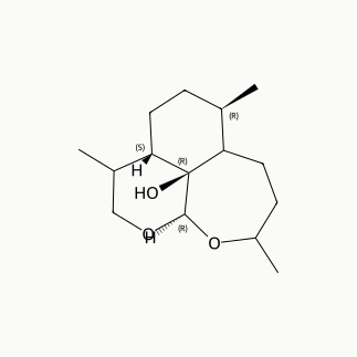 CC1CCC2[C@H](C)CC[C@H]3C(C)CO[C@H](O1)[C@@]23O